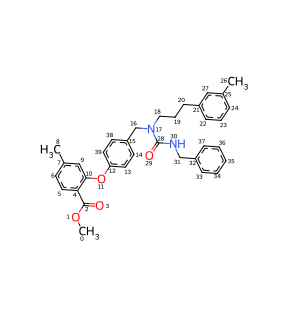 COC(=O)c1ccc(C)cc1Oc1ccc(CN(CCCc2cccc(C)c2)C(=O)NCc2ccccc2)cc1